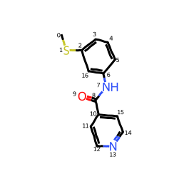 CSc1cccc(NC(=O)c2ccncc2)c1